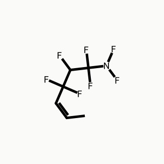 C/C=C\C(F)(F)C(F)C(F)(F)N(F)F